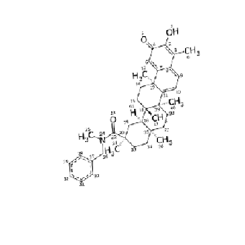 CC1=C(O)C(=O)C=C2C1=CC=C1[C@@]2(C)CC[C@@]2(C)[C@@H]3C[C@](C)(C(=O)N(C)Cc4ccccc4)CC[C@]3(C)CC[C@]12C